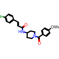 COc1ccc(C(=O)N2CCC(NC(=O)/C=C/c3ccc(Br)cc3)CC2)cc1